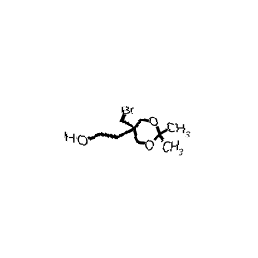 CC1(C)OCC(CBr)(CCO)CO1